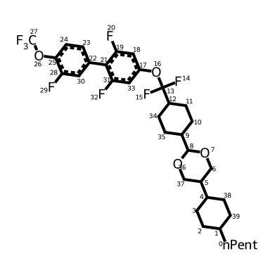 CCCCCC1CCC(C2COC(C3CCC(C(F)(F)Oc4cc(F)c(-c5ccc(OC(F)(F)F)c(F)c5)c(F)c4)CC3)OC2)CC1